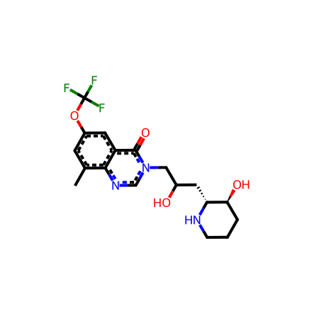 Cc1cc(OC(F)(F)F)cc2c(=O)n(CC(O)C[C@H]3NCCC[C@@H]3O)cnc12